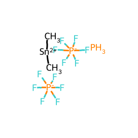 F[P-](F)(F)(F)(F)F.F[P-](F)(F)(F)(F)F.P.[CH3][Sn+2][CH3]